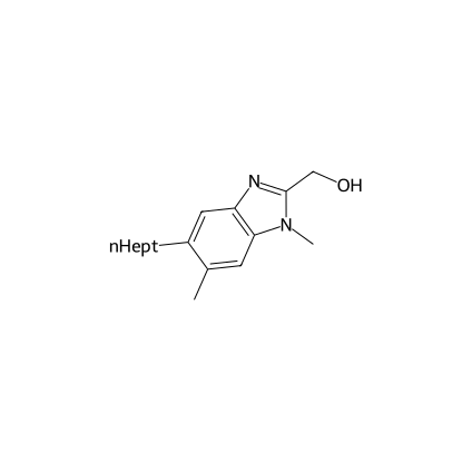 CCCCCCCc1cc2nc(CO)n(C)c2cc1C